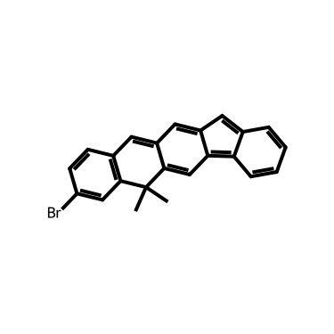 CC1(C)c2cc(Br)ccc2C=c2cc3c(cc21)=c1ccccc1=C3